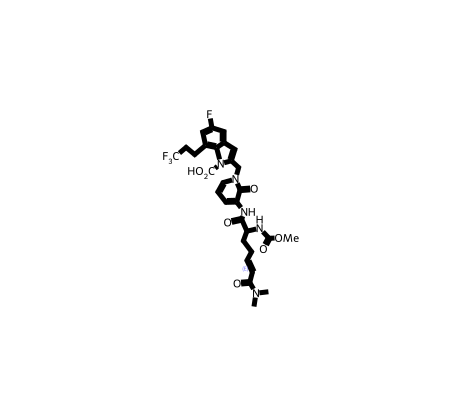 COC(=O)NC(CC/C=C/C(=O)N(C)C)C(=O)Nc1cccn(Cc2cc3cc(F)cc(CCC(F)(F)F)c3n2C(=O)O)c1=O